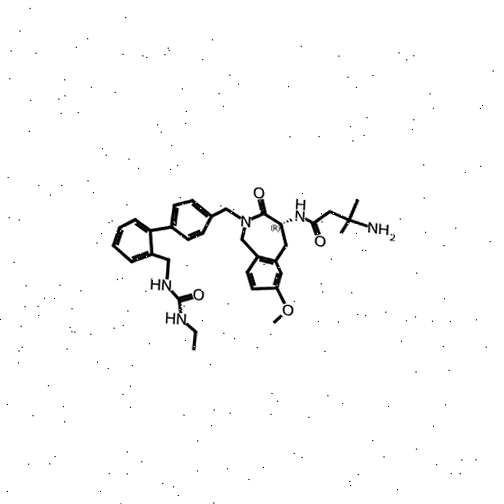 CCNC(=O)NCc1ccccc1-c1ccc(CN2Cc3ccc(OC)cc3C[C@@H](NC(=O)CC(C)(C)N)C2=O)cc1